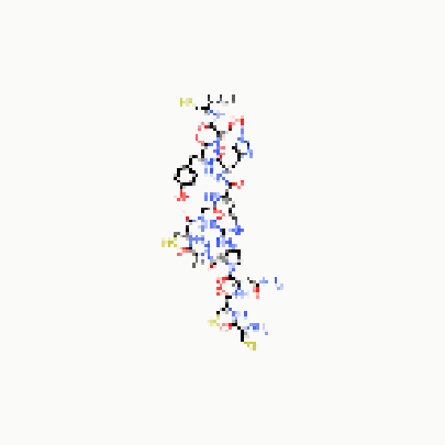 C[C@H](NC(=O)[C@@H]1CCCN1C(=O)[C@H](CC(N)=O)NC(=O)[C@H](CS)NC(=O)[C@@H](N)CS)C(=O)N[C@@H](CS)C(=O)NCC(=O)N[C@@H](CCCNC(=N)N)C(=O)N[C@@H](Cc1c[nH]cn1)C(=O)N[C@@H](Cc1ccc(O)cc1)C(=O)N[C@@H](CO)C(=O)N[C@@H](CS)C(=O)O